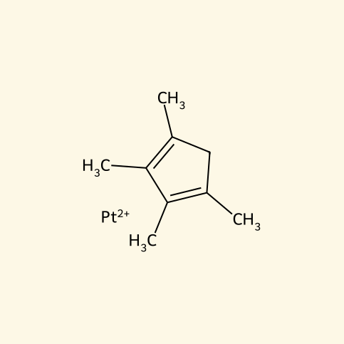 CC1=C(C)C(C)=C(C)C1.[Pt+2]